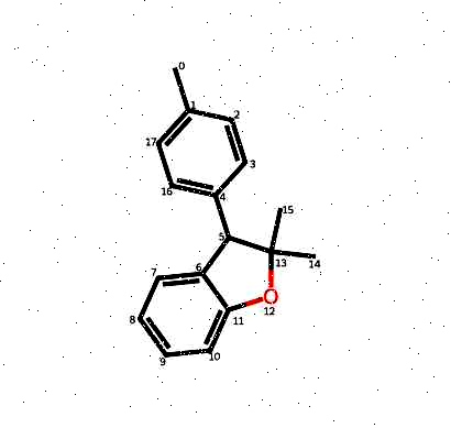 Cc1ccc(C2c3ccccc3OC2(C)C)cc1